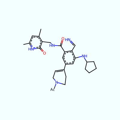 CC(=O)N1CC=C(c2cc(NC3CCCC3)c(C=N)c(C(=O)NCc3c(C)cc(C)[nH]c3=O)c2)CC1